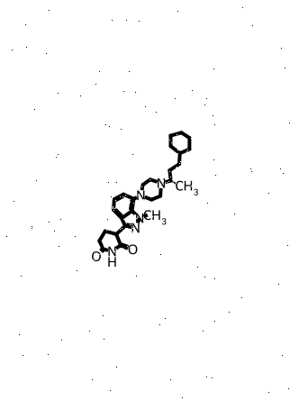 C[C@@H](CCC1CCCCC1)N1CCN(c2cccc3c(C4CCC(=O)NC4=O)nn(C)c23)CC1